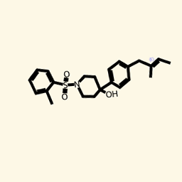 C/C=C(\C)Cc1ccc(C2(O)CCN(S(=O)(=O)c3ccccc3C)CC2)cc1